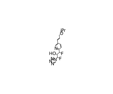 CC(C)OCC=Cc1ccc(C(F)C(O)C(F)n2cnnn2)nc1